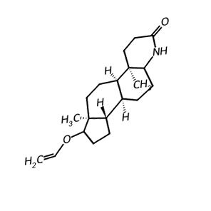 C=COC1CC[C@H]2[C@@H]3CCC4NC(=O)CC[C@]4(C)[C@@H]3CC[C@]12C